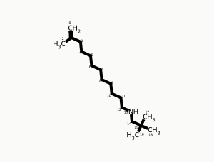 C=C(C)CCCCCCCCCCNCC(C)(C)C